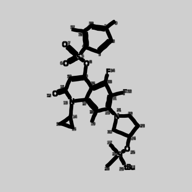 Cc1ccc(S(=O)(=O)Oc2cc(=O)n(C3CC3)c3c(C)c(N4CCC(O[Si](C)(C)C(C)(C)C)C4)c(F)c(F)c23)c(C)c1